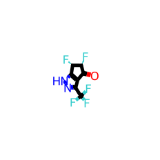 O=C1c2c(C(F)(F)F)n[nH]c2[C@H](F)[C@@H]1F